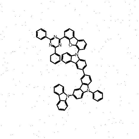 C1=CCCC(c2nc(-c3ccccc3)nc(-c3cccc4c3oc3c(-n5c6ccccc6c6cc(-c7ccc8c(c7)c7cc(-n9c%10ccccc%10c%10ccccc%109)ccc7n8-c7ccccc7)ccc65)cccc34)n2)=C1